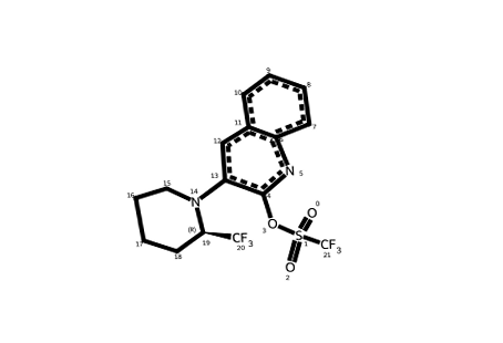 O=S(=O)(Oc1nc2ccccc2cc1N1CCCC[C@@H]1C(F)(F)F)C(F)(F)F